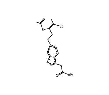 C=C(C)S/C(CCc1ccc2c(CC(=O)CCC)csc2c1)=C(\C)CC